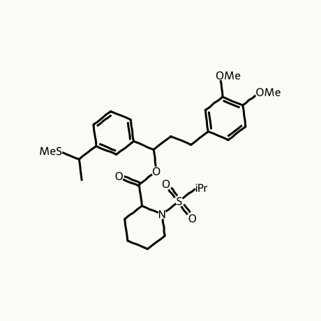 COc1ccc(CCC(OC(=O)C2CCCCN2S(=O)(=O)C(C)C)c2cccc(C(C)SC)c2)cc1OC